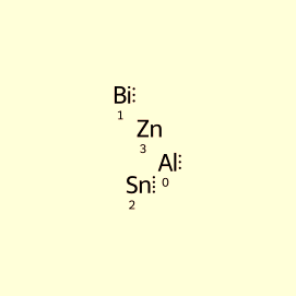 [Al].[Bi].[Sn].[Zn]